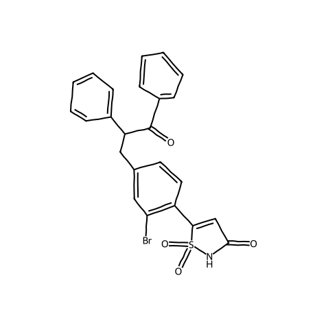 O=C1C=C(c2ccc(CC(C(=O)c3ccccc3)c3ccccc3)cc2Br)S(=O)(=O)N1